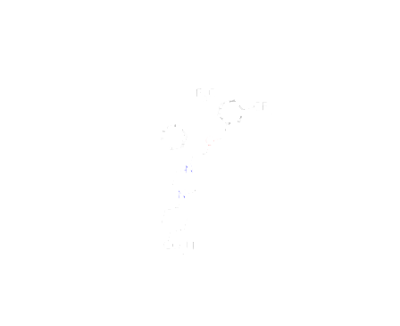 O=C(O)C1CCC(N2CCN(C(COCc3cc(C(F)(F)F)cc(C(F)(F)F)c3)c3ccccc3)CC2)CC1